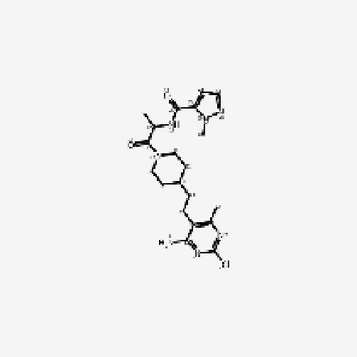 Cc1nc(Cl)nc(N)c1CCC1CCN(C(=O)C(C)NC(=O)c2ccnn2C)CC1